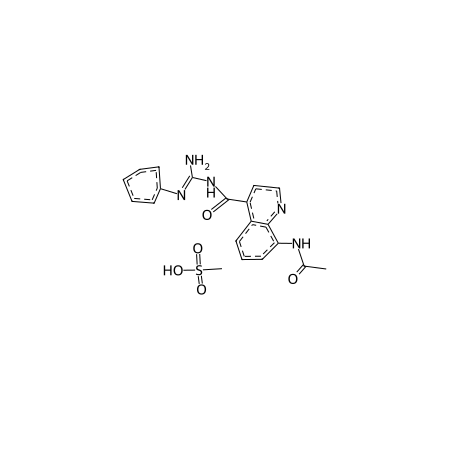 CC(=O)Nc1cccc2c(C(=O)NC(N)=Nc3ccccc3)ccnc12.CS(=O)(=O)O